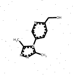 Cc1nnc(C)n1-c1ccc(CO)nc1